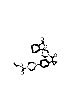 CCOC(=O)N1CCN(c2ccc(C3(C(=O)N4CC[C@@]5(C4)OC(=O)c4ccccc45)CC3)cc2)CC1